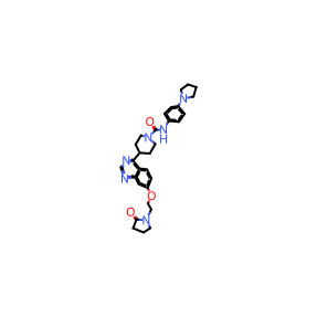 O=C1CCCN1CCOc1ccc2c(C3CCN(C(=O)Nc4ccc(N5CCCC5)cc4)CC3)ncnc2c1